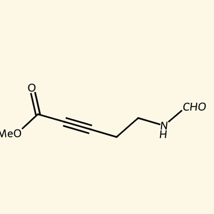 COC(=O)C#CCCNC=O